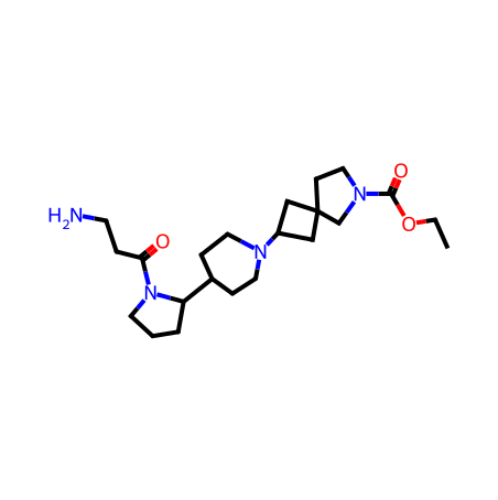 CCOC(=O)N1CCC2(CC(N3CCC(C4CCCN4C(=O)CCN)CC3)C2)C1